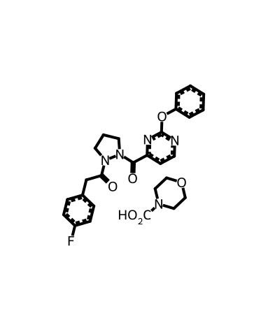 O=C(Cc1ccc(F)cc1)N1CCCN1C(=O)c1ccnc(Oc2ccccc2)n1.O=C(O)N1CCOCC1